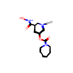 O=CN1CC(OC(=O)N2CCCCCC2)CC(C(=O)NO)C1